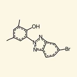 Cc1cc(C)c(O)c(-n2nc3ccc(Br)cc3n2)c1